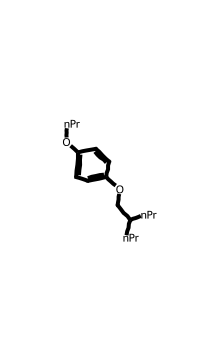 CCCOc1ccc(OCC(CCC)CCC)cc1